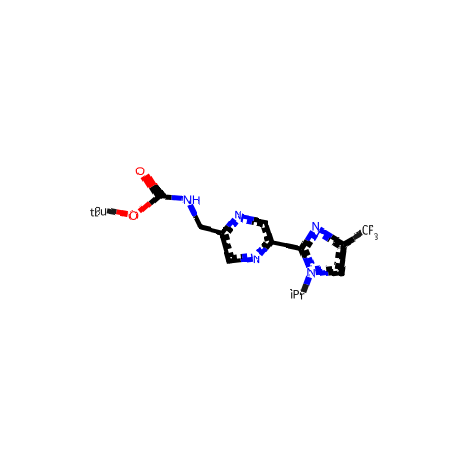 CC(C)n1cc(C(F)(F)F)nc1-c1cnc(CNC(=O)OC(C)(C)C)cn1